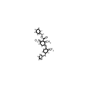 Cc1c(Oc2ccc(Cn3nccn3)cc2C(F)(F)F)ccc([N+](=O)[O-])c1C(=O)OCc1ccccc1